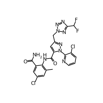 Cc1cc(Cl)cc(C(N)=O)c1NC(=O)c1cc(Cn2nnc(C(F)F)n2)nn1-c1ncccc1Cl